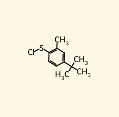 Cc1cc(C(C)(C)C)ccc1SCl